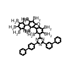 Bc1c(B)c(B)c(-c2c(B)c(B)c3oc4c(B)c(B)c(-c5nc(-c6ccc(-c7ccccc7)cc6)nc(-c6cccc(-c7ccccc7)c6)n5)c(B)c4c3c2B)c(B)c1B